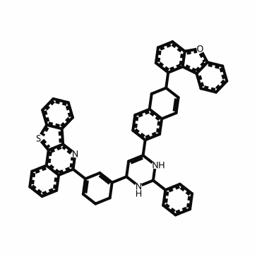 C1=CC(c2cccc3oc4ccccc4c23)Cc2ccc(C3=CC(C4=CC(c5nc6c7ccccc7sc6c6ccccc56)=CCC4)NC(c4ccccc4)N3)cc21